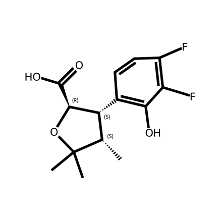 C[C@H]1[C@@H](c2ccc(F)c(F)c2O)[C@H](C(=O)O)OC1(C)C